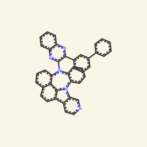 c1ccc(-c2cccc(-c3nc4ccccc4nc3-n3c4cccc5ccc6c7ccncc7n(c7ccccc73)c6c54)c2)cc1